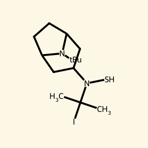 CC(C)(C)N1C2CCC1CC(N(S)C(C)(C)I)C2